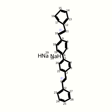 C(=C\c1ccc(-c2ccc(/C=C/c3ccccc3)cc2)cc1)/c1ccccc1.[NaH].[NaH]